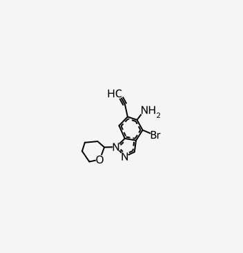 C#Cc1cc2c(cnn2C2CCCCO2)c(Br)c1N